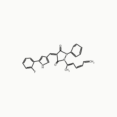 C=C/C=C\C=C(/C)N1C(=O)/C(=C\c2c[nH]c(-c3ccccc3F)c2)C(=O)N1c1ccccc1